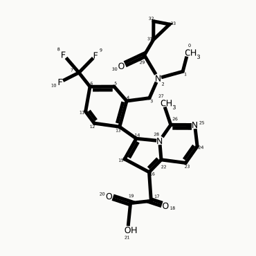 CCN(Cc1cc(C(F)(F)F)ccc1-c1cc(C(=O)C(=O)O)c2ccnc(C)n12)C(=O)C1CC1